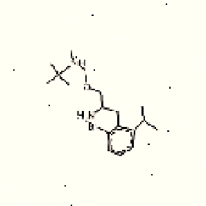 CC(C)c1cccc(Br)c1C[C@@H](N)COC[SiH](C)C(C)(C)C